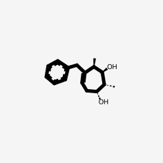 C[C@H]1[C@H](O)[C@H](C)C(Cc2ccccc2)=CC[C@H]1O